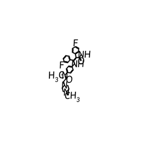 CN1CCN(CC(=O)N(C)c2ccc(N/C(=C3\C(=O)Nc4cc(F)ccc43)c3cccc(F)c3)cc2)CC1